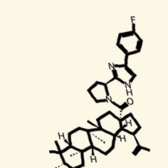 C=C(C)[C@@H]1CC[C@]2(C(=O)N3CCC[C@H]3c3nc(-c4ccc(F)cc4)c[nH]3)CC[C@]3(C)[C@H](CC[C@@H]4[C@@]5(C)CC[C@H](C)C(C)(C)[C@@H]5CC[C@]43C)[C@@H]12